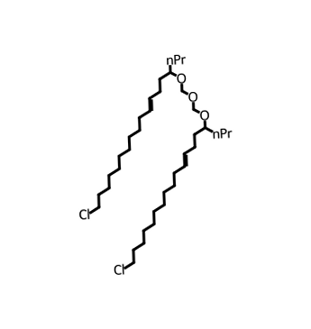 CCCC(CCC=CCCCCCCCCCCCl)OCOCOC(CCC)CCC=CCCCCCCCCCCCl